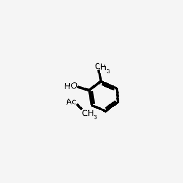 CC(C)=O.Cc1ccccc1O